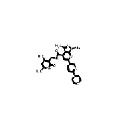 Cc1cc(C)c(CNC(=O)c2cc(-c3ccc(N4CCOCC4)nc3)nc3c2c(C)nn3C(C)(C)C)c(=O)[nH]1